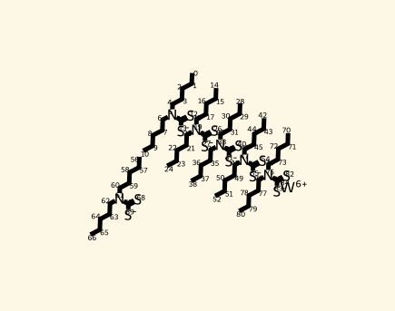 CCCCCN(CCCCC)C(=S)[S-].CCCCCN(CCCCC)C(=S)[S-].CCCCCN(CCCCC)C(=S)[S-].CCCCCN(CCCCC)C(=S)[S-].CCCCCN(CCCCC)C(=S)[S-].CCCCCN(CCCCC)C(=S)[S-].[W+6]